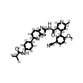 COc1ccc(C#N)cc1-c1cc(C)ncc1C(=O)Nc1nc2ccc(-c3ccc(NC(=O)C(C)C)cc3)nc2s1